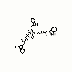 CC(C)(COC(=O)Cc1c[nH]c2ccccc12)[C@@H](OC(=O)Cc1c[nH]c2ccccc12)C(=O)NCCCOC(=O)Cc1c[nH]c2ccccc12